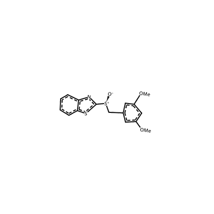 COc1cc(C[S@+]([O-])c2nc3ccccc3s2)cc(OC)c1